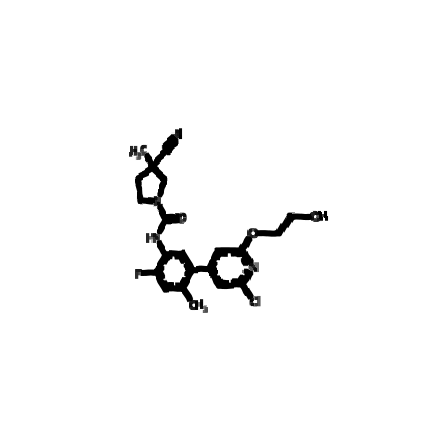 Cc1cc(F)c(NC(=O)N2CCC(C)(C#N)C2)cc1-c1cc(Cl)nc(OCCO)c1